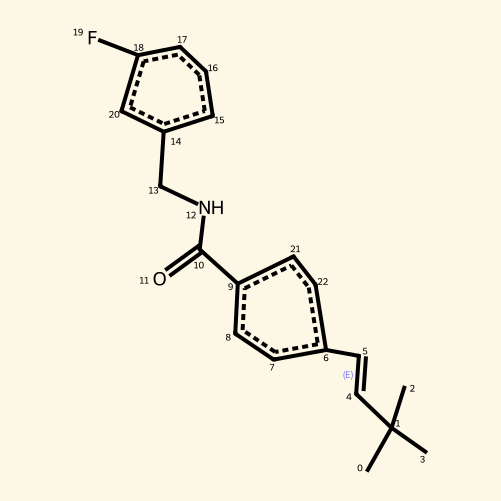 CC(C)(C)/C=C/c1ccc(C(=O)NCc2cccc(F)c2)cc1